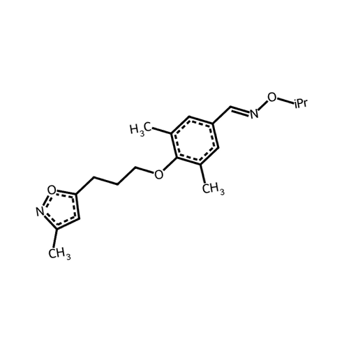 Cc1cc(CCCOc2c(C)cc(C=NOC(C)C)cc2C)on1